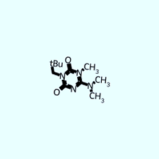 CN(C)c1nc(=O)n(CC(C)(C)C)c(=O)n1C